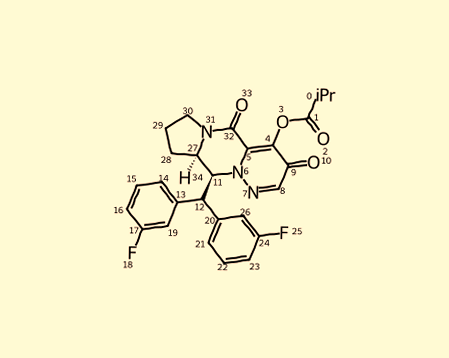 CC(C)C(=O)Oc1c2n(ncc1=O)[C@@H](C(c1cccc(F)c1)c1cccc(F)c1)[C@H]1CCCN1C2=O